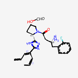 C=C/C=C(\C=C/C)c1nnc([C@@H]2CCCN2C(=O)C[C@H](N)Cc2ccccc2F)[nH]1.O=CO